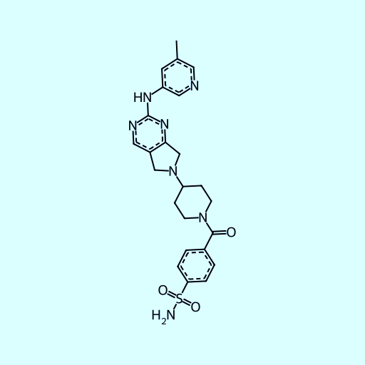 Cc1cncc(Nc2ncc3c(n2)CN(C2CCN(C(=O)c4ccc(S(N)(=O)=O)cc4)CC2)C3)c1